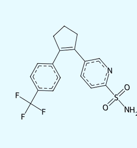 NS(=O)(=O)c1ccc(C2=C(c3ccc(C(F)(F)F)cc3)CCC2)cn1